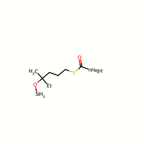 CCCCCCCC(=O)SCCCC(C)(CC)O[SiH3]